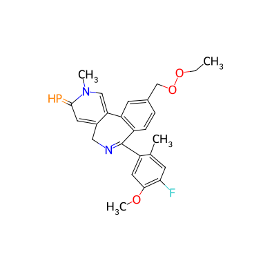 CCOOCc1ccc2c(c1)-c1cn(C)c(=P)cc1CN=C2c1cc(OC)c(F)cc1C